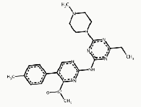 CCc1nc(Nc2ncc(-c3ccc(C)cc3)c([S+](C)[O-])n2)nc(N2CCN(C)CC2)n1